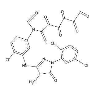 CC1C(=O)N(c2cc(Cl)ccc2Cl)N=C1Nc1cc(N(C=O)C(=O)C(=O)C(=O)C(=O)C(=O)C=O)ccc1Cl